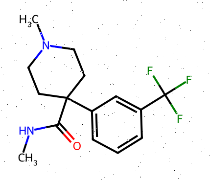 CNC(=O)C1(c2cccc(C(F)(F)F)c2)CCN(C)CC1